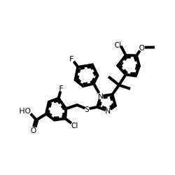 COc1ccc(C(C)(C)c2cnc(SCc3c(F)cc(C(=O)O)cc3Cl)n2-c2ccc(F)cc2)cc1Cl